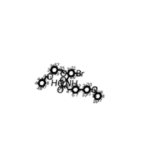 O=C(N[C@@H](Cc1ccc(-c2ccc(Oc3ccccc3)cc2)cc1)C(=O)O)c1cc(Br)ccc1OCc1cccc(OCc2ccccc2)c1